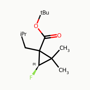 CC(C)CC1(C(=O)OC(C)(C)C)[C@H](F)C1(C)C